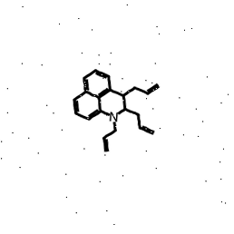 C=CCC1c2cccc3cccc(c23)N(CC=C)C1CC=C